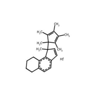 CC1=C(C)C(C)(C2(C)C=Cc3ccc4c(c32)CCCC4)C(C)=C1C.[Hf]